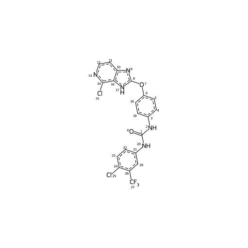 O=C(Nc1ccc(Oc2nc3ccnc(Cl)c3[nH]2)cc1)Nc1ccc(Cl)c(C(F)(F)F)c1